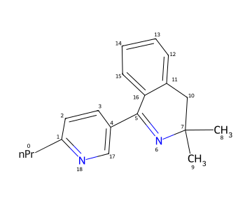 CCCc1ccc(C2=NC(C)(C)Cc3ccccc32)cn1